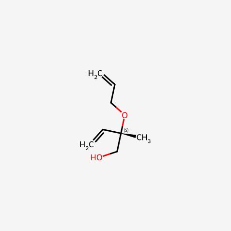 C=CCO[C@@](C)(C=C)CO